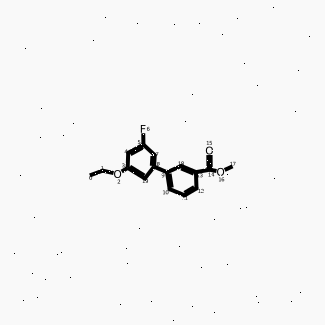 CCOc1cc(F)cc(-c2cccc(C(=O)OC)c2)c1